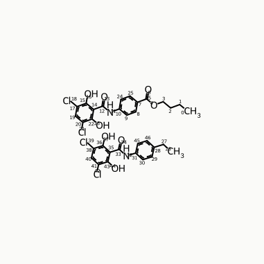 CCCCOC(=O)c1ccc(NC(=O)c2c(O)c(Cl)cc(Cl)c2O)cc1.CCc1ccc(NC(=O)c2c(O)c(Cl)cc(Cl)c2O)cc1